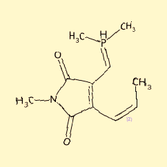 C/C=C\C1=C(C=[PH](C)C)C(=O)N(C)C1=O